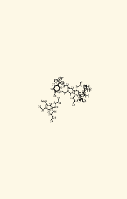 CCCC[P+](CCCC)(CCCC)CCCC.CCCC[P+](CCCC)(CCCC)CCCC.Cc1ccc(S(=O)(=O)[O-])cc1.O=S(=O)([O-])PPPP